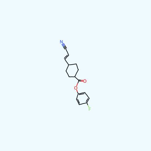 N#C/C=C/C1CCC(C(=O)Oc2ccc(F)cc2)CC1